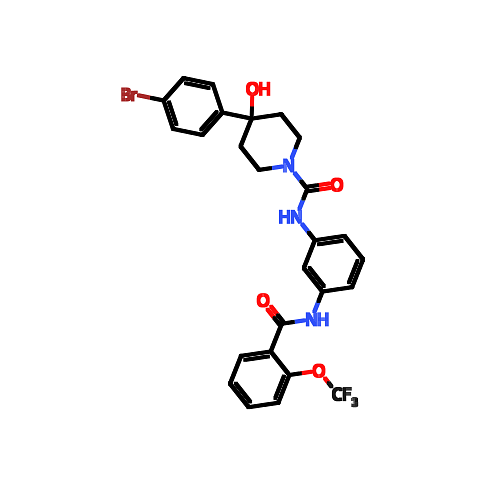 O=C(Nc1cccc(NC(=O)N2CCC(O)(c3ccc(Br)cc3)CC2)c1)c1ccccc1OC(F)(F)F